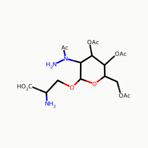 CC(=O)OCC1OC(OCC(N)C(=O)O)C(N(N)C(C)=O)C(OC(C)=O)C1OC(C)=O